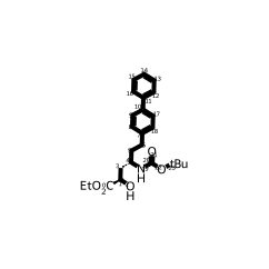 CCOC(=O)[C@H](O)C[C@H](CCc1ccc(-c2ccccc2)cc1)NC(=O)OC(C)(C)C